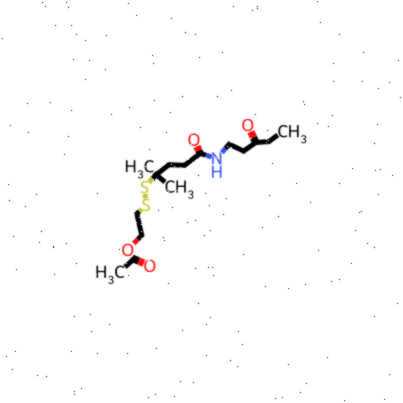 CCC(=O)CCNC(=O)CCC(C)(C)SSCCOC(C)=O